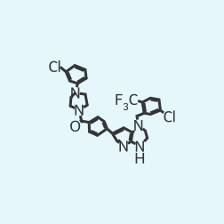 O=C(c1ccc(-c2cnc3c(c2)N(Cc2cc(Cl)ccc2C(F)(F)F)CCN3)cc1)N1CCN(c2cccc(Cl)c2)CC1